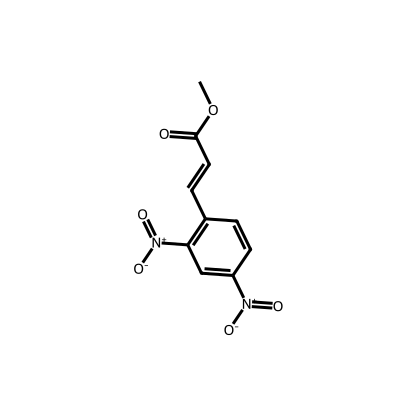 COC(=O)C=Cc1ccc([N+](=O)[O-])cc1[N+](=O)[O-]